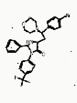 O=C1C(CC(c2ccc(Br)cc2)N2CCOCC2)NC(c2ccccc2)N1c1ccc(C(F)(F)F)cc1